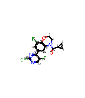 O=C(C1CC1)N1CCOc2c(F)cc(-c3nc(Cl)ncc3F)cc21